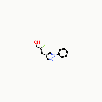 OCC(F)=Cc1cnn(-c2ccccc2)c1